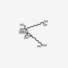 CCCCCCC(CCCCCCCCCC(O)O)(OC(CCCCCC)(CCCCCCCCCC(O)O)C(O)CO)C(O)CO